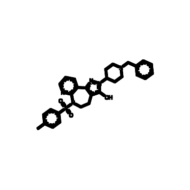 Cc1ccc(S(=O)(=O)N2CCc3c(nn(C4CCN(Cc5ccccc5)CC4)c3O)-c3cccnc32)cc1